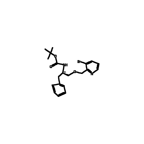 CC(C)(C)OC(=O)N[C@@H](COCc1ncccc1Br)Cc1ccccc1